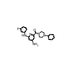 Nc1cc(Nc2cccc(F)c2)nc(C(=O)N2CCN(c3ccccc3)CC2)c1